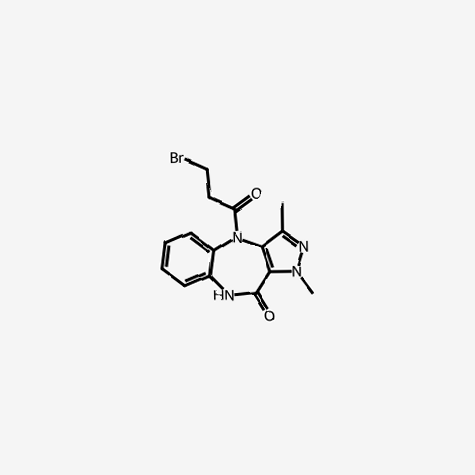 Cc1nn(C)c2c1N(C(=O)CCBr)c1ccccc1NC2=O